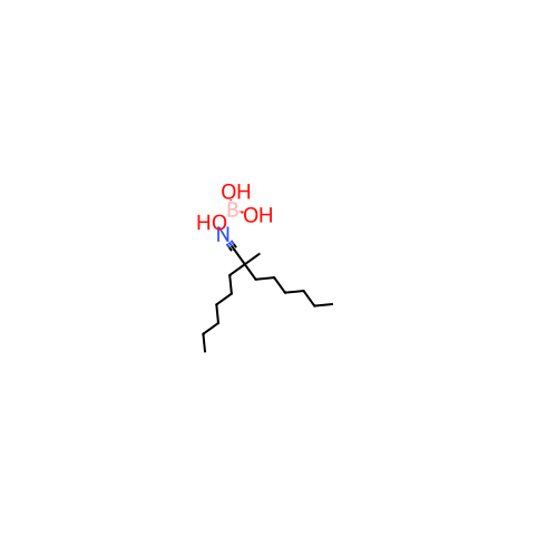 CCCCCCC(C)(C#N)CCCCCC.OB(O)O